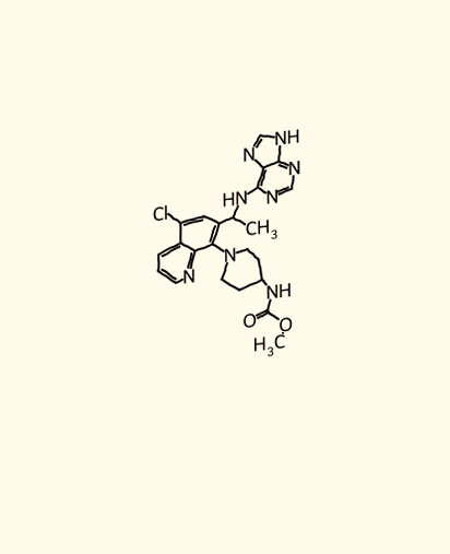 COC(=O)NC1CCN(c2c(C(C)Nc3ncnc4[nH]cnc34)cc(Cl)c3cccnc23)CC1